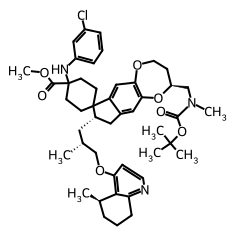 COC(=O)C1(Nc2cccc(Cl)c2)CCC2(CC1)c1cc3c(cc1C[C@@H]2C[C@@H](C)COc1ccnc2c1[C@H](C)CCC2)O[C@H](CN(C)C(=O)OC(C)(C)C)CCO3